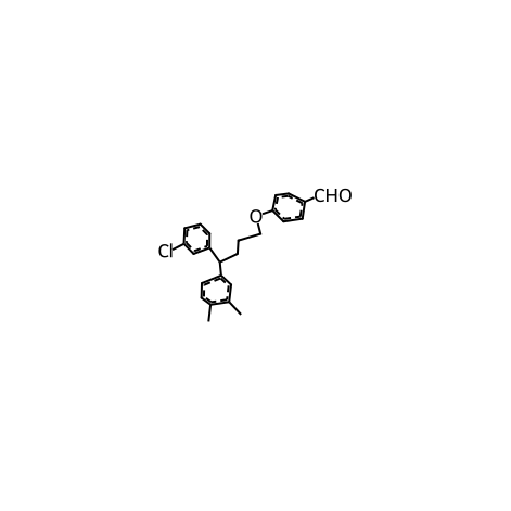 Cc1ccc(C(CCCOc2ccc(C=O)cc2)c2cccc(Cl)c2)cc1C